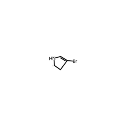 BrC1=CN[C]C1